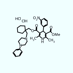 COC(=O)C1=C(C)NC(C)=C(C(=O)OCC2(CN3CCN(c4ccccc4)CC3)CCCCC2)C1c1cccc([N+](=O)[O-])c1.Cl.Cl